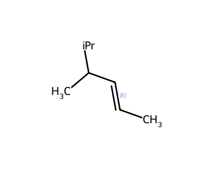 [CH2]C(C)C(C)/C=C/C